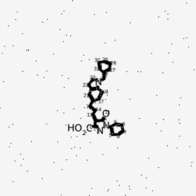 O=C(O)C1=NN(c2ccccc2)C(=O)/C1=C\C=C\c1ccc2c(c1)CCN2Cc1ccccc1